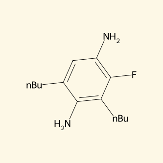 CCCCc1cc(N)c(F)c(CCCC)c1N